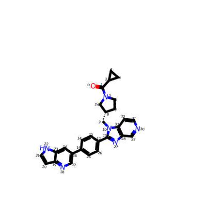 O=C(C1CC1)N1CC[C@H](Cn2c(-c3ccc(-c4cnc5cc[nH]c5c4)cc3)nc3cnccc32)C1